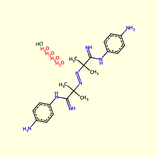 CC(C)(N=NC(C)(C)C(=N)Nc1ccc(N)cc1)C(=N)Nc1ccc(N)cc1.Cl.O.O.O.O